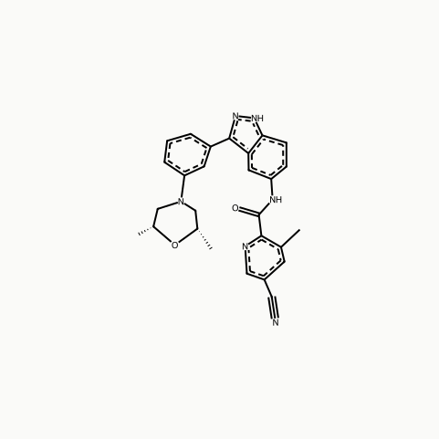 Cc1cc(C#N)cnc1C(=O)Nc1ccc2[nH]nc(-c3cccc(N4C[C@@H](C)O[C@@H](C)C4)c3)c2c1